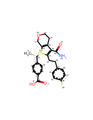 C[C@@H](c1ccc(C(=O)O)cc1)[SH]1C2=C(CCOC2)C(C(N)=O)=C1CCc1ccc(F)cc1